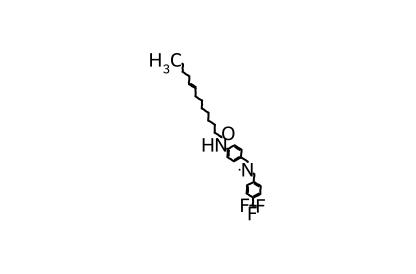 CCCC/C=C/CCCCCCCC(=O)Nc1ccc(C[N]Cc2ccc(C(F)(F)F)cc2)cc1